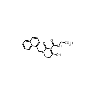 O=C(O)CNC(=O)C1=C(O)CCN(Cc2cccc3ccccc23)C1=O